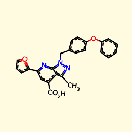 Cc1nn(Cc2ccc(Oc3ccccc3)cc2)c2nc(-c3ccco3)cc(C(=O)O)c12